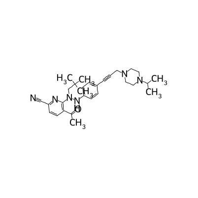 CC(=O)c1ccc(C#N)nc1N(CC(C)(C)C)Nc1ccc(C#CCN2CCN(C(C)C)CC2)cc1